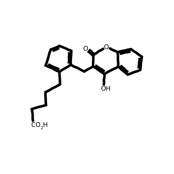 O=C(O)CCCCc1ccccc1Cc1c(O)c2ccccc2oc1=O